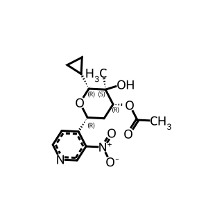 CC(=O)O[C@@H]1C[C@H](c2ccncc2[N+](=O)[O-])O[C@H](C2CC2)[C@@]1(C)O